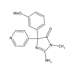 COc1cccc(C2(c3ccncc3)N=C(N)N(C)C2=O)c1